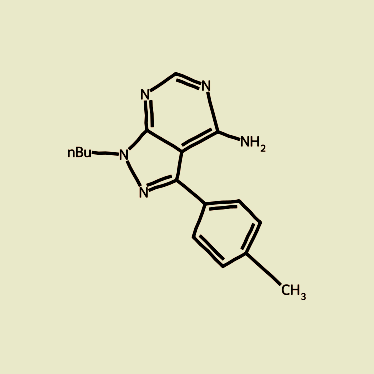 CCCCn1nc(-c2ccc(C)cc2)c2c(N)ncnc21